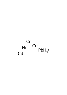 [Cd].[Cr].[Cu].[Ni].[PbH2]